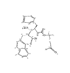 CC(C)(C)OC(=O)N[C@H](Cc1ccccc1)[C@@H](O)[C@@H](Cc1ccc2ccccc2c1)C(=O)O.CC(C)=O